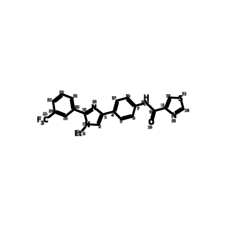 CCn1cc(-c2ccc(NC(=O)c3cscn3)cc2)nc1-c1cccc(C(F)(F)F)c1